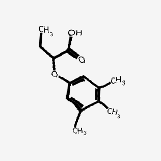 CCC(Oc1cc(C)c(C)c(C)c1)C(=O)O